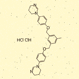 Cc1cc(COc2ccc(N3C=NCCC3)cc2)cc(COc2ccc(N3C=NCCC3)cc2)c1.Cl.Cl